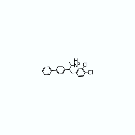 CC(N)C(Cc1ccc(Cl)c(Cl)c1)c1ccc(-c2ccccc2)cc1